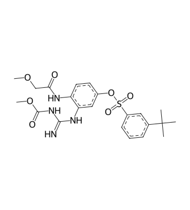 COCC(=O)Nc1ccc(OS(=O)(=O)c2cccc(C(C)(C)C)c2)cc1NC(=N)NC(=O)OC